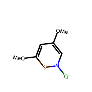 COC1=CN(Cl)SC(OC)=C1